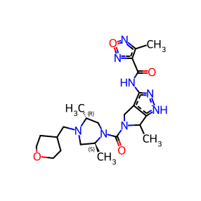 Cc1nonc1C(=O)Nc1n[nH]c2c1CN(C(=O)N1C[C@@H](C)N(CC3CCOCC3)C[C@@H]1C)C2C